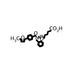 Cc1ccc(-c2ccc(C(=O)N(Cc3ccccc3OCCCCCC(=O)O)C(C)C)cc2)o1